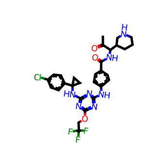 CC(=O)C(NC(=O)c1ccc(Nc2nc(NC3(c4ccc(Cl)cc4)CC3)nc(OCC(F)(F)F)n2)cc1)C1CCCNC1